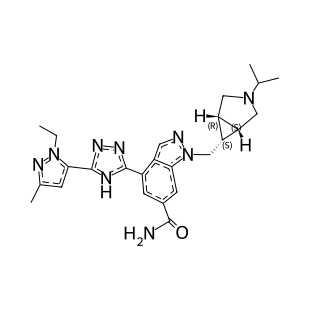 CCn1nc(C)cc1-c1nnc(-c2cc(C(N)=O)cc3c2cnn3C[C@@H]2[C@@H]3CN(C(C)C)C[C@@H]32)[nH]1